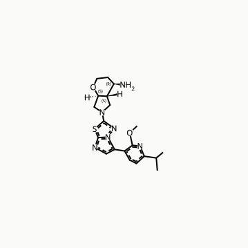 COc1nc(C(C)C)ccc1-c1cnc2sc(N3C[C@H]4[C@H](N)CCO[C@@H]4C3)nn12